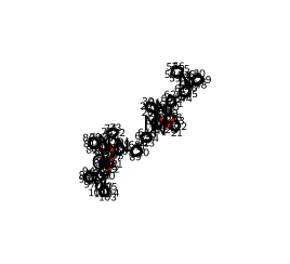 c1ccc(-c2cc(-c3cccc(-c4ccc(-c5nc(-c6ccccc6)nc(-c6ccccc6-n6c7ccccc7c7cc(-c8ccc9c%10ccccc%10n(-c%10ccccc%10)c9c8)ccc76)n5)cc4)c3)nc(-c3ccccc3-n3c4ccccc4c4c5oc6c(ccc7c6c6ccccc6n7-c6ccccc6)c5ccc43)n2)cc1